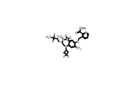 COC(=O)c1ncccc1COc1cc2c(cc1C(F)(F)F)N(C1CC(F)(F)C1)C[C@H](CCC(C)(F)F)N(C)S2(=O)=O